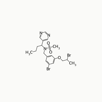 CCCC(c1cncnc1)N(Cc1cc(Br)cc(OCC(C)Br)c1)S(C)(=O)=O